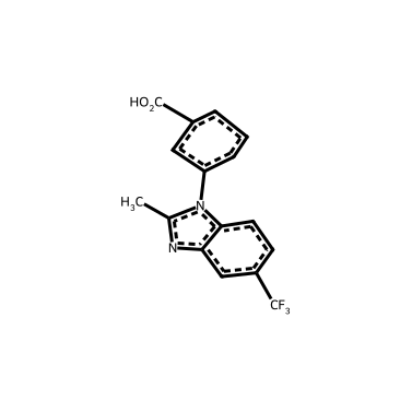 Cc1nc2cc(C(F)(F)F)ccc2n1-c1cccc(C(=O)O)c1